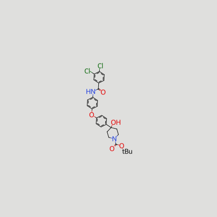 CC(C)(C)OC(=O)N1CCC(O)(c2ccc(Oc3ccc(NC(=O)c4ccc(Cl)c(Cl)c4)cc3)cc2)CC1